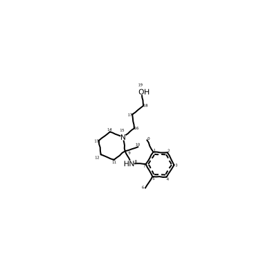 Cc1cccc(C)c1NC1(C)CCCCN1CCCO